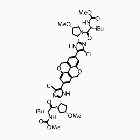 CC[C@H](C)[C@H](NC(=O)OC)C(=O)N1C[C@@H](OC)C[C@H]1c1nc(Cl)c(-c2cc3c4c(c2)OCc2cc(-c5[nH]c([C@@H]6C[C@H](OC)CN6C(=O)[C@@H](NC(=O)OC)[C@@H](C)CC)nc5Cl)cc(c2-4)OC3)[nH]1